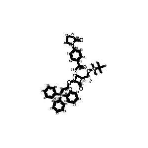 C[C@@H](O[Si](C)(C)C(C)(C)C)[C@H]1C(=O)N(OC(=O)C=P(c2ccccc2)(c2ccccc2)c2ccccc2)[C@@H]1CC(=O)c1ccc(N2CCOC2=O)cc1